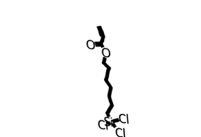 C=CC(=O)OCCCCCCC[Si](Cl)(Cl)Cl